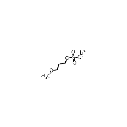 COCCCOS(=O)(=O)[O-].[Li+]